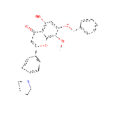 COc1c(OCc2ccccc2)cc(O)c2c(=O)cc(-c3ccc(N4CCCC4)cc3)oc12